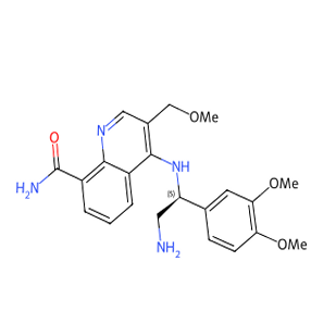 COCc1cnc2c(C(N)=O)cccc2c1N[C@H](CN)c1ccc(OC)c(OC)c1